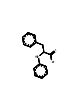 O=C(O)C(Cc1ccccc1)Nc1ccccc1